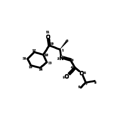 [CH2][C@H](N=CC(=O)OC(C)C)C(=O)C1CCCCC1